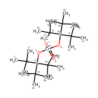 CC(C)(C)[Si]([O][Cr](=[O])(=[O])[O][Si](C(C)(C)C)(C(C)(C)C)C(C)(C)C)(C(C)(C)C)C(C)(C)C